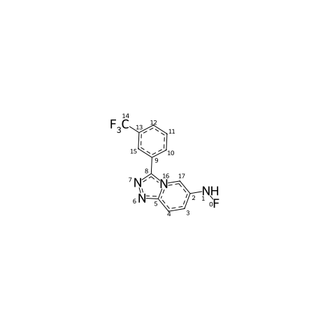 FNc1ccc2nnc(-c3cccc(C(F)(F)F)c3)n2c1